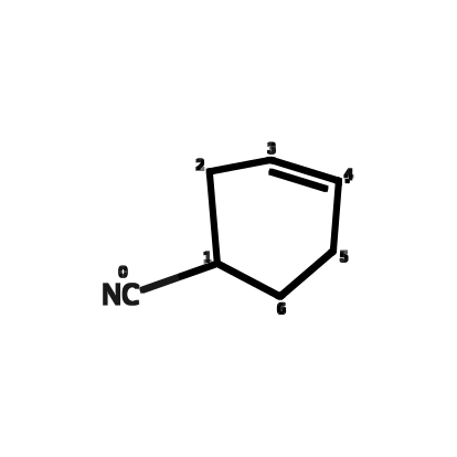 N#CC1CC=[C]CC1